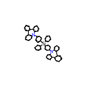 c1ccc([Si](c2ccccc2)(c2ccc(N3c4ccccc4-c4ccccc4-c4ccccc43)cc2)c2ccc(N3c4ccccc4-c4ccccc4-c4ccccc43)cc2)cc1